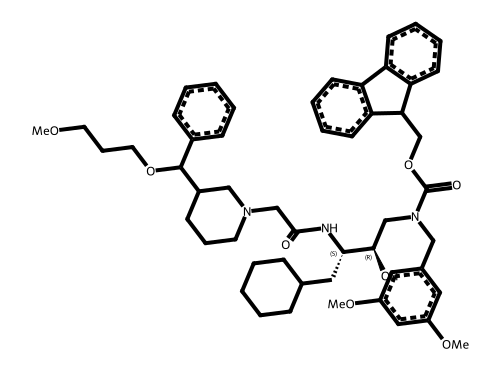 COCCCOC(c1ccccc1)C1CCCN(CC(=O)N[C@@H](CC2CCCCC2)[C@H](O)CN(Cc2cc(OC)cc(OC)c2)C(=O)OCC2c3ccccc3-c3ccccc32)C1